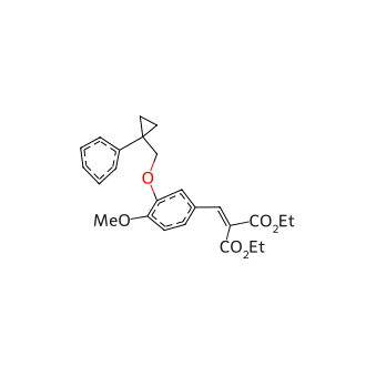 CCOC(=O)C(=Cc1ccc(OC)c(OCC2(c3ccccc3)CC2)c1)C(=O)OCC